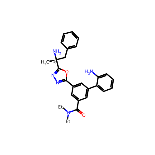 CCN(CC)C(=O)c1cc(-c2nnc([C@](C)(N)Cc3ccccc3)o2)cc(-c2ccccc2N)c1